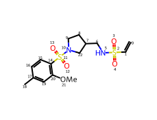 C=CS(=O)(=O)NCC1CCN(S(=O)(=O)c2ccc(C)cc2OC)C1